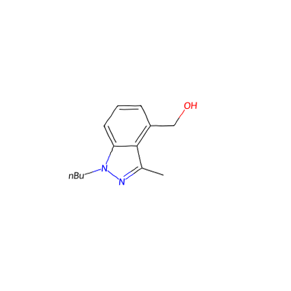 CCCCn1nc(C)c2c(CO)cccc21